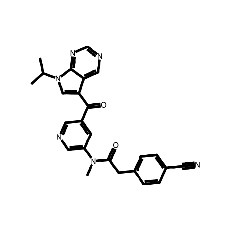 CC(C)n1cc(C(=O)c2cncc(N(C)C(=O)Cc3ccc(C#N)cc3)c2)c2cncnc21